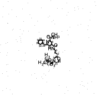 CNC(=O)c1cc(C(=O)NCCC[C@H]2CN(C(=O)OC(C)(C)C)CCO2)cc(Cc2ccccc2)n1